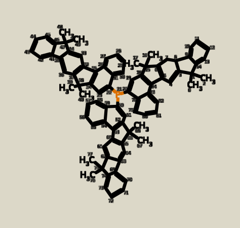 CC1(C)C2=CC3=C(CC2c2ccccc21)C(C)(C)c1cc(P(c2cc4c(c5ccccc25)-c2cc5c(cc2C4(C)C)-c2ccccc2C5(C)C)c2cc4c(c5ccccc25)-c2cc5c(cc2C4(C)C)-c2ccccc2C5(C)C)c2ccccc2c13